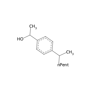 CCCCCC(C)c1ccc(C(C)O)cc1